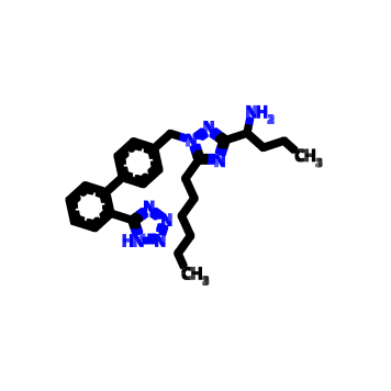 CCCCCCc1nc(C(N)CCC)nn1Cc1ccc(-c2ccccc2-c2nnn[nH]2)cc1